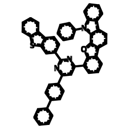 c1ccc(-c2ccc(-c3cc(-c4cccc5c4oc4c5ccc5c6ccccc6n(-c6ccccc6)c54)nc(-c4ccc5c(c4)sc4ccccc45)n3)cc2)cc1